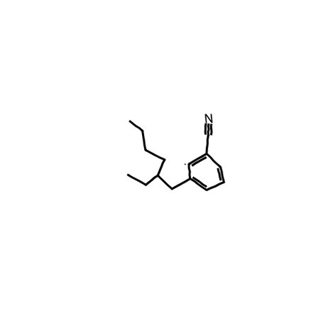 CCCCC(CC)Cc1[c]c(C#N)ccc1